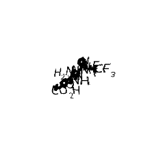 CC(C)(Cc1ccc([C@]2(C)C(=O)Nc3nc(C4NN(CCC(F)(F)C(F)(F)F)c5ncccc54)nc(N)c32)cc1)C(=O)O